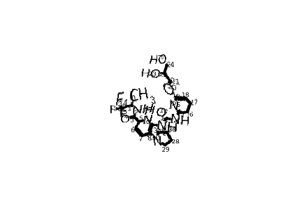 C[C@@H](NC(=O)C1C=CC2=C(N1)N(C(=O)Nc1cccc(OC[C@@H](O)CO)n1)[C@H]1CCN2C1)C(F)(F)F